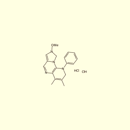 CON1C=C2C=NC3=C(N2C1)N(c1ccccc1)CC(C)=C3C.Cl.Cl